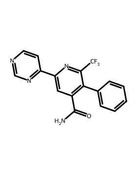 NC(=O)c1cc(-c2ccncn2)nc(C(F)(F)F)c1-c1ccccc1